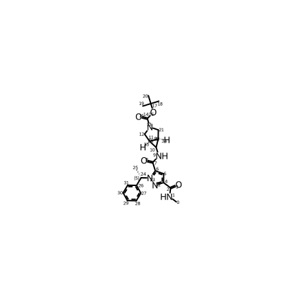 CNC(=O)c1cc(C(=O)NC2[C@H]3CN(C(=O)OC(C)(C)C)C[C@@H]23)n([C@@H](C)c2ccccc2)n1